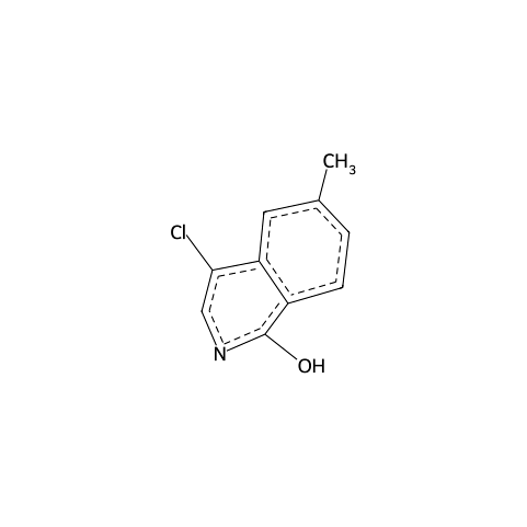 Cc1ccc2c(O)ncc(Cl)c2c1